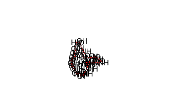 CN(C)CCCNC(=O)CCNC(=O)c1cc(NC(=O)c2nc(NC(=O)c3nc(NC(=O)CCNC(=O)c4cc(NC(=O)c5nc(NC(=O)CCCNC(=O)c6cc(NC(=O)c7nc(NC(=O)CCNC(=O)c8cc(NC(=O)c9cc(NC(=O)c%10nc(NC(=O)CCNC(=O)CCNC(=O)c%11ccc(NC(=O)CCCCCCC(=O)NO)cc%11)cn%10C)cn9C)cn8C)cn7C)cn6C)cn5C)cn4C)cn3C)cn2C)cn1C